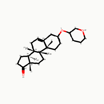 C[C@]12CCC(OC3CCCOC3)CC1=CC[C@@H]1[C@H]2CC[C@]2(C)C(=O)CC[C@@H]12